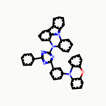 c1ccc(-c2nc(-c3cccc(N4c5ccccc5Oc5ccccc54)c3)nc(N3c4ccccc4-n4c5ccccc5c5cccc3c54)n2)cc1